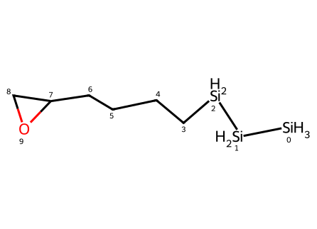 [SiH3][SiH2][SiH2]CCCCC1CO1